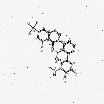 CNc1cc(-c2ccnc(-n3ncc4cc(C(C)(C)C)cc(F)c4c3=O)c2CO)cn(C)c1=O